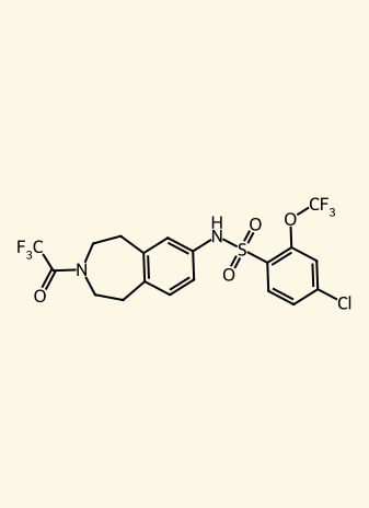 O=C(N1CCc2ccc(NS(=O)(=O)c3ccc(Cl)cc3OC(F)(F)F)cc2CC1)C(F)(F)F